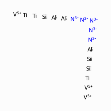 [Al].[Al].[Al].[N-3].[N-3].[N-3].[N-3].[N-3].[Si].[Si].[Si].[Ti].[Ti].[Ti].[V+5].[V+5].[V+5]